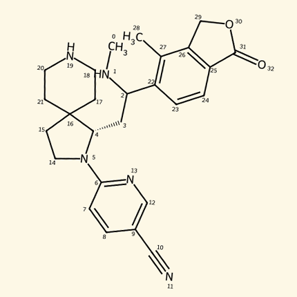 CNC(C[C@@H]1N(c2ccc(C#N)cn2)CCC12CCNCC2)c1ccc2c(c1C)COC2=O